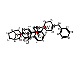 COc1cccc(C(=O)NC2CC3CCC(C2)N3c2ccc(C(=O)NC3CCN(Cc4ccccc4)CC3)cn2)c1C